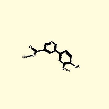 COc1cc(-c2cncc(C(=O)OC(C)(C)C)c2)ccc1O